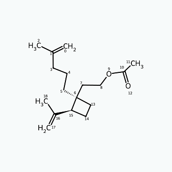 C=C(C)CCC[C@]1(CCOC(C)=O)CC[C@H]1C(=C)C